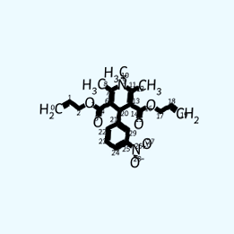 C=CCOC(=O)C1=C(C)N(C)C(C)=C(C(=O)OCC=C)C1c1cccc([N+](=O)[O-])c1